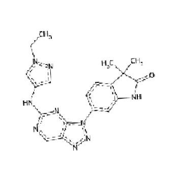 CCn1cc(Nc2ncc3nnn(-c4ccc5c(c4)NC(=O)C5(C)C)c3n2)cn1